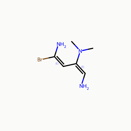 CN(C)C(/C=C(\N)Br)=C/N